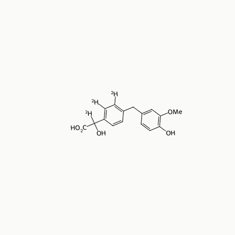 [2H]c1c(Cc2ccc(O)c(OC)c2)ccc(C([2H])(O)C(=O)O)c1[2H]